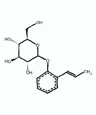 CC=Cc1ccccc1OC1O[C@H](CO)[C@@H](O)[C@H](O)[C@H]1O